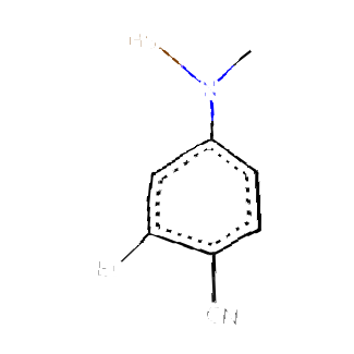 CCc1cc(N(C)S)ccc1C#N